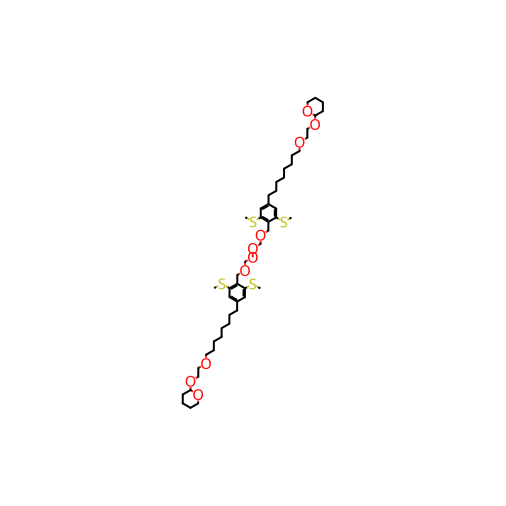 CSc1cc(CCCCCCCCOCCOC2CCCCO2)cc(SC)c1COCOOCOCc1c(SC)cc(CCCCCCCCOCCOC2CCCCO2)cc1SC